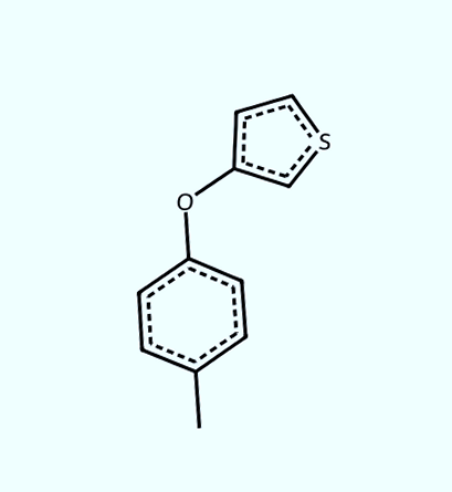 Cc1ccc(Oc2ccsc2)cc1